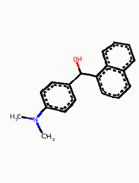 CN(C)c1ccc(C(O)c2cccc3ccccc23)cc1